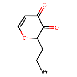 CC(C)CCC1OC=CC(=O)C1=O